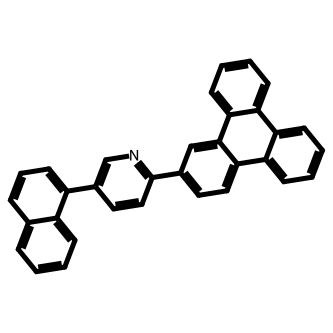 c1ccc2c(-c3ccc(-c4ccc5c6ccccc6c6ccccc6c5c4)nc3)cccc2c1